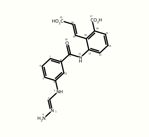 NN=CNc1cccc(C(=O)Nc2cccc(C(=O)O)c2C=CC(=O)O)c1